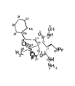 CC(C)C[C@@H](C(=O)NN)[C@@H](C(=O)NO)C(CCC1CCCCC1)(CC(C)C)S(C)(=O)=O